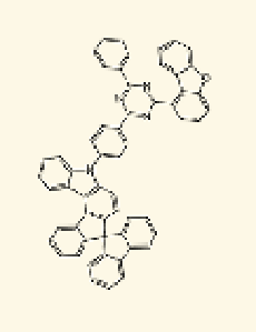 c1ccc(-c2nc(-c3ccc(-n4c5ccccc5c5c6c(ccc54)C4(c5ccccc5-c5ccccc54)c4ccccc4-6)cc3)nc(-c3cccc4oc5ccccc5c34)n2)cc1